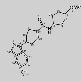 COC1CCC(NC(=O)N2CCC(n3ncc4cc(C)ccc43)CC2)CC1